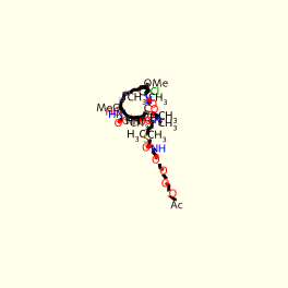 COc1cc2cc(c1Cl)N(C)C(=O)C[C@H](OC(=O)[C@H](C)N(C)C(=O)CCC(C)(C)SCC(=O)NCCOCCOCCOCCOCCC(C)=O)[C@]1(C)O[C@H]1[C@H](C)[C@@H]1C[C@@](O)(NC(=O)O1)[C@H](OC)/C=C/C=C(\C)C2